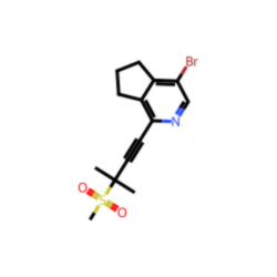 CC(C)(C#Cc1ncc(Br)c2c1CCC2)S(C)(=O)=O